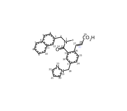 CN(Cc1ccc2ccccc2c1)C(=O)c1cc(Cn2cccn2)ccc1/C=C/C(=O)O